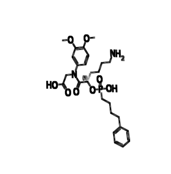 COc1ccc(N(CC(=O)O)C(=O)[C@H](CCCCN)OP(=O)(O)CCCCc2ccccc2)cc1OC